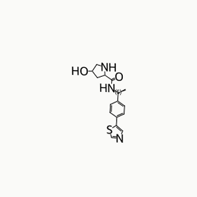 C[C@H](NC(=O)C1CC(O)CN1)c1ccc(-c2cncs2)cc1